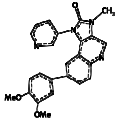 COc1ccc(-c2ccc3ncc4c(c3c2)n(-c2cccnc2)c(=O)n4C)cc1OC